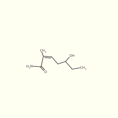 CCC(O)CC=C(C)C(N)=O